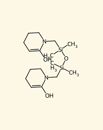 C[Si](C)(CN1CCCC=C1O)O[Si](C)(C)CN1CCCC=C1O